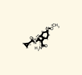 CON=C1CCc2c(sc(NC(=O)C3CC3)c2C(N)=O)C1